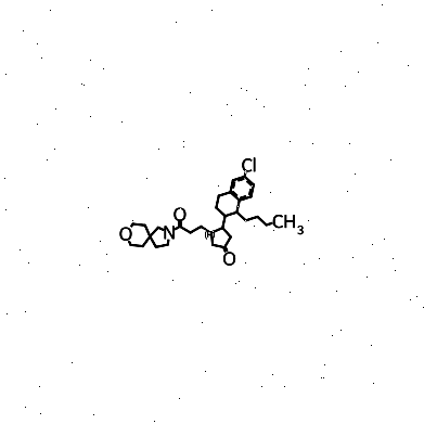 CCCCC1c2ccc(Cl)cc2CCC1C1CC(=O)C[C@H]1CCC(=O)N1CCC2(CCOCC2)C1